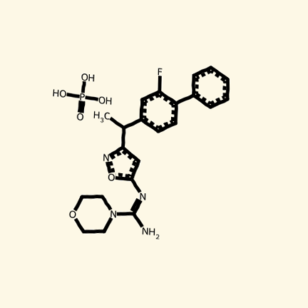 CC(c1ccc(-c2ccccc2)c(F)c1)c1cc(N=C(N)N2CCOCC2)on1.O=P(O)(O)O